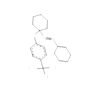 CC(C)(C)c1ccc(SC2(N=NC3CCCCC3)CCCCC2)cc1